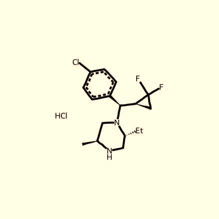 CC[C@@H]1CN[C@@H](C)CN1[C@@H](c1ccc(Cl)cc1)[C@@H]1CC1(F)F.Cl